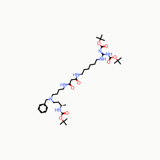 C[C@H](CCN(CCCCNC(=O)CC(=O)NCCCCCCNC(=NC(=O)OC(C)(C)C)NC(=O)OC(C)(C)C)Cc1ccccc1)NC(=O)OC(C)(C)C